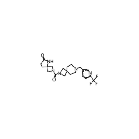 O=C1CCC2(CN(C(=O)N3CC4(CCN(Cc5ccc(C(F)(F)F)nc5)CC4)C3)C2)N1